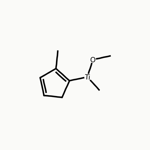 C[O][Ti]([CH3])[C]1=C(C)C=CC1